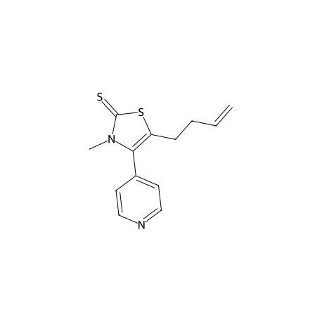 C=CCCc1sc(=S)n(C)c1-c1ccncc1